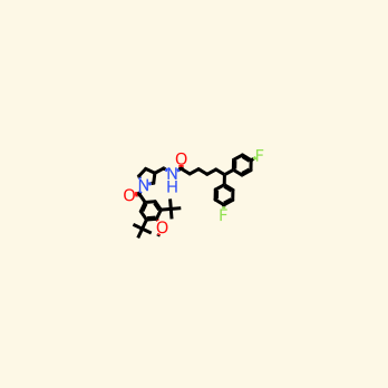 COc1c(C(C)(C)C)cc(C(=O)N2CCC(CNC(=O)CCCCC(c3ccc(F)cc3)c3ccc(F)cc3)C2)cc1C(C)(C)C